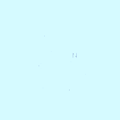 O=[P]1NCCCO1